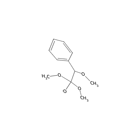 COC(c1ccccc1)C([O])(OC)OC